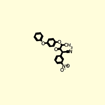 CC(Oc1ccc(Oc2ccccc2)cc1)C(=O)C(C#N)c1cccc([N+](=O)[O-])c1